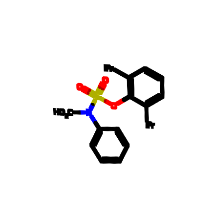 CC(C)c1cccc(C(C)C)c1OS(=O)(=O)N(C(=O)O)c1ccccc1